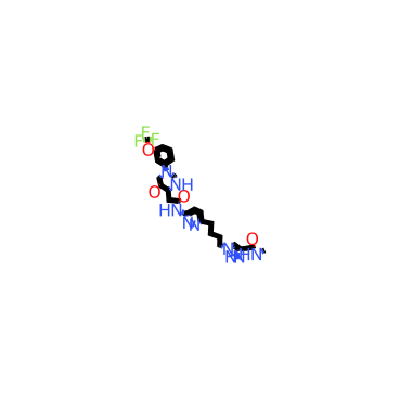 CNC(=O)c1cn(CCCCc2ccc(NC(=O)CC3NCN(c4cccc(OC(F)(F)F)c4)CC3=O)nn2)nn1